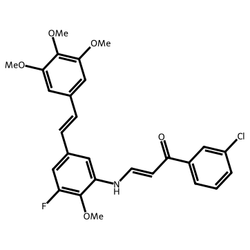 COc1cc(C=Cc2cc(F)c(OC)c(NC=CC(=O)c3cccc(Cl)c3)c2)cc(OC)c1OC